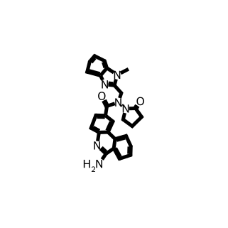 Cn1c(CN(C(=O)c2ccc3nc(N)c4ccccc4c3c2)N2CCCC2=O)nc2ccccc21